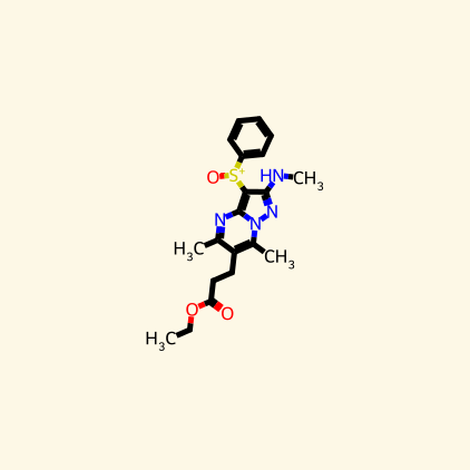 CCOC(=O)CCc1c(C)nc2c([S+]([O-])c3ccccc3)c(NC)nn2c1C